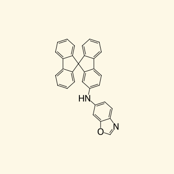 c1ccc2c(c1)-c1ccccc1C21c2ccccc2-c2ccc(Nc3ccc4ncoc4c3)cc21